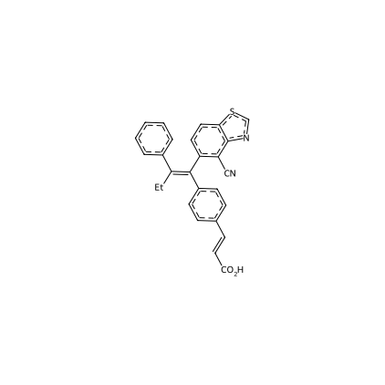 CCC(=C(c1ccc(C=CC(=O)O)cc1)c1ccc2scnc2c1C#N)c1ccccc1